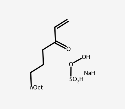 C=CC(=O)CCCCCCCCCCC.O=S(=O)(O)OO.[NaH]